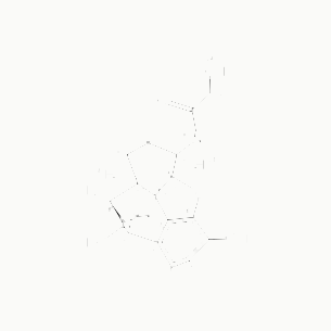 Cc1ccc2c3c1O[C@@H]1C(NC(=O)CO)CC[C@@H]4[C@H](C2)N(C)CC[C@@]314